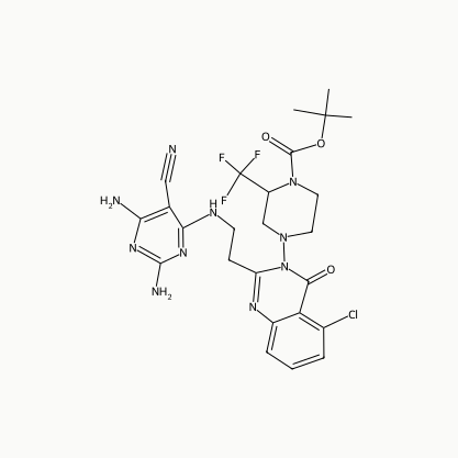 CC(C)(C)OC(=O)N1CCN(n2c(CCNc3nc(N)nc(N)c3C#N)nc3cccc(Cl)c3c2=O)CC1C(F)(F)F